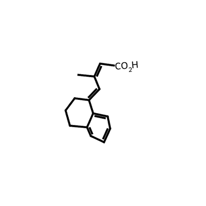 CC(=C/C(=O)O)/C=C1\CCCc2ccccc21